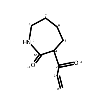 C=CC(=O)C1CCCCNC1=O